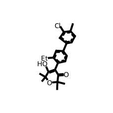 CCc1cc(-c2ccc(C)c(Cl)c2)ccc1C1=C(O)C(C)(C)OC(C)(C)C1=O